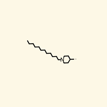 [CH2]C1CCN(CCCCCCCCCCCC)CC1